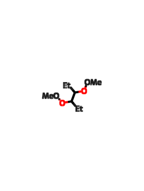 [CH2]CC(OOC)C(CC)OOC